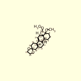 COC[C@]1(OC)CCC[C@H]2[C@@H]3CCC4=C(CCC5(C4)OCCO5)C3=CC[C@@]21C